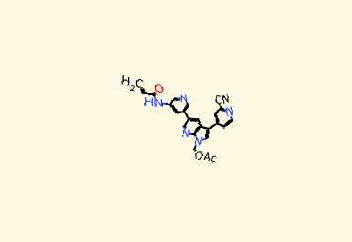 C=CC(=O)Nc1cncc(-c2cnc3c(c2)c(-c2ccnc(C#N)c2)cn3COC(C)=O)c1